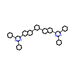 c1ccc(-c2cc(-c3ccc4cc(-c5cccc(-c6ccc7cc(-c8cc(-c9ccccc9)nc(-c9ccccc9)n8)ccc7c6)c5)ccc4c3)nc(-c3ccccc3)n2)cc1